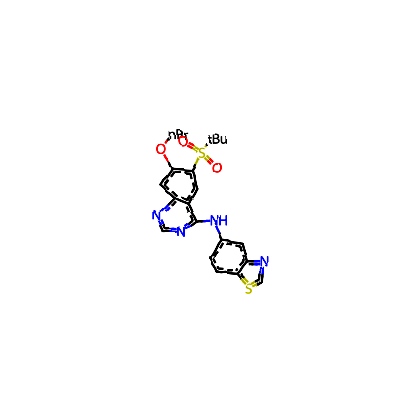 CCCOc1cc2ncnc(Nc3ccc4scnc4c3)c2cc1S(=O)(=O)C(C)(C)C